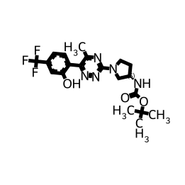 Cc1nc(N2CC[C@H](NC(=O)OC(C)(C)C)C2)nnc1-c1ccc(C(F)(F)F)cc1O